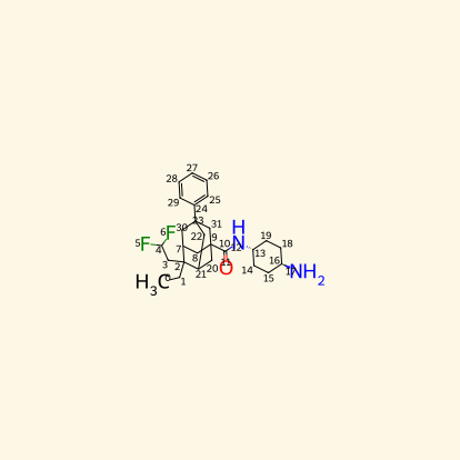 CCC1(CC(F)F)C2CC3(C(=O)N[C@H]4CC[C@H](N)CC4)CC1CC(c1ccccc1)(C2)C3